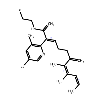 C=C(NCCF)/C(=C/CCC(=C)/C(C)=C(C)\C=C/C)c1ncc(CC)cc1C